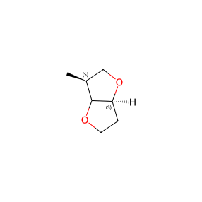 C[C@H]1CO[C@H]2CCOC21